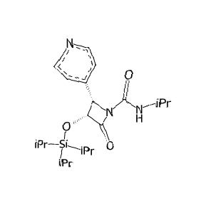 CC(C)NC(=O)N1C(=O)[C@H](O[Si](C(C)C)(C(C)C)C(C)C)[C@@H]1c1ccncc1